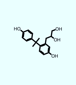 CC(C)(c1ccc(O)cc1)c1ccc(O)cc1CC(O)CO